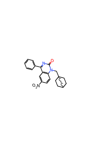 O=c1nc(-c2ccccc2)c2cc([N+](=O)[O-])ccc2n1CC12CCC(CC1)CC2